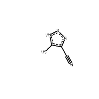 N#Cc1nn[nH]c1S